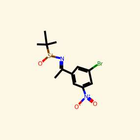 C/C(=N\[S+]([O-])C(C)(C)C)c1cc(Br)cc([N+](=O)[O-])c1